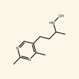 Cc1ncc(CCC(C)NO)c(C)n1